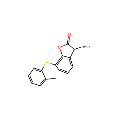 CCCCCCC1C(=O)Oc2c(Sc3ccccc3C)cccc21